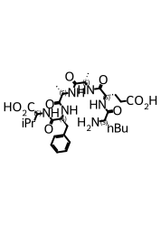 CCCC[C@H](N)C(=O)N[C@@H](CCC(=O)O)C(=O)N[C@@H](C)C(=O)N[C@@H](C)C(=O)N[C@@H](Cc1ccccc1)C(=O)N[C@H](C(=O)O)C(C)C